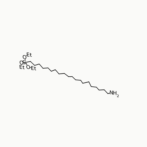 CCO[Si](CCCCCCCCCCCCCCCCCCCCN)(OCC)OCC